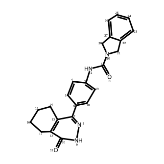 O=C(Nc1ccc(-c2n[nH]c(=O)c3c2CCCC3)cc1)N1Cc2ccccc2C1